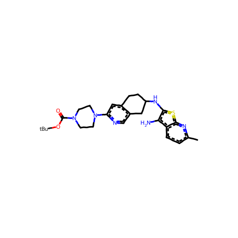 Cc1ccc2c(N)c(NC3CCc4cc(N5CCN(C(=O)OC(C)(C)C)CC5)ncc4C3)sc2n1